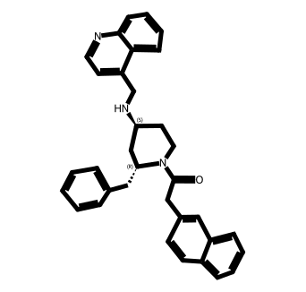 O=C(Cc1ccc2ccccc2c1)N1CC[C@H](NCc2ccnc3ccccc23)C[C@H]1Cc1ccccc1